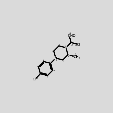 C[C@H]1CN(c2ccc(Cl)cc2)CCN1C(Cl)C=O